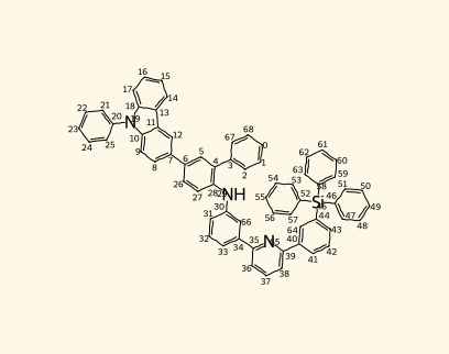 c1ccc(-c2cc(-c3ccc4c(c3)c3ccccc3n4-c3ccccc3)ccc2Nc2cccc(-c3cccc(-c4cccc([Si](c5ccccc5)(c5ccccc5)c5ccccc5)c4)n3)c2)cc1